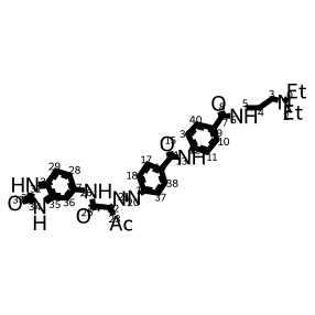 CCN(CC)CCCNC(=O)c1ccc(NC(=O)c2ccc(N=NC(C(C)=O)C(=O)Nc3ccc4[nH]c(=O)[nH]c4c3)cc2)cc1